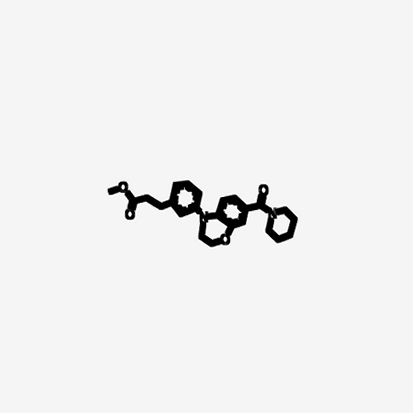 COC(=O)CCc1cccc(N2CCOc3cc(C(=O)N4CCCCC4)ccc32)c1